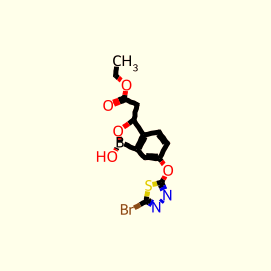 CCOC(=O)CC1OB(O)c2cc(Oc3nnc(Br)s3)ccc21